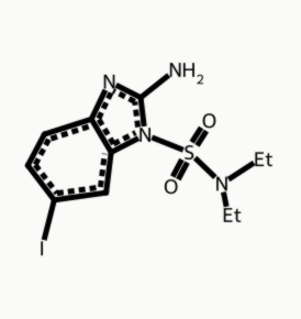 CCN(CC)S(=O)(=O)n1c(N)nc2ccc(I)cc21